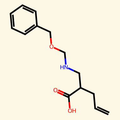 C=CCC(CNCOCc1ccccc1)C(=O)O